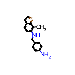 Cc1c(NCc2ccc(N)cc2)ccc2ccsc12